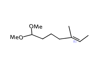 C/C=C(\C)CCCC(OC)OC